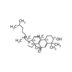 CC(C)CCC[C@@H](C)[C@H]1CC[C@@]2(C)C3=C(C=C[C@]12C)[C@@]1(C)CC[C@H](O)C(C)(C)C1=CC3=O